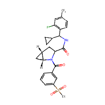 CCS(=O)(=O)c1cccc(C(=O)N2C(C(=O)NC(c3ccc(C(F)(F)F)cc3F)C3CC3)C[C@H]3C[C@H]32)c1